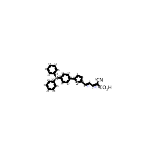 N#C/C(=C\C=C\c1ccc(-c2ccc(N(c3ccccc3)c3ccccc3)cc2)s1)C(=O)O